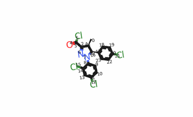 C[C@@H]1C(C(=O)Cl)=NN(c2ccc(Cl)cc2Cl)[C@@H]1c1ccc(Cl)cc1